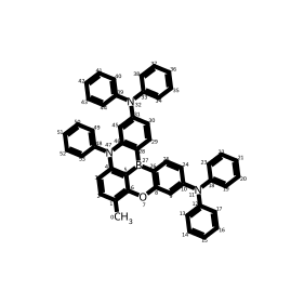 Cc1ccc2c3c1Oc1cc(N(c4ccccc4)c4ccccc4)ccc1B3c1ccc(N(c3ccccc3)c3ccccc3)cc1N2c1ccccc1